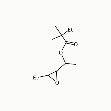 CCC1OC1C(C)OC(=O)C(C)(C)CC